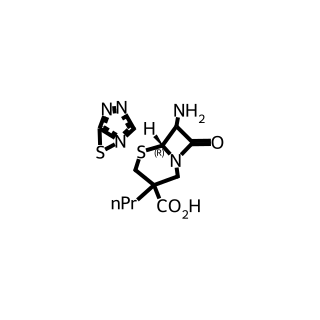 CCCC1(C(=O)O)CS[C@@H]2C(N)C(=O)N2C1.c1nnc2n1S2